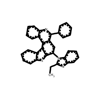 CCc1nc2ccccc2n1-c1cc2c(-c3ccccc3)nc3ccccc3c2c2c1sc1ccccc12